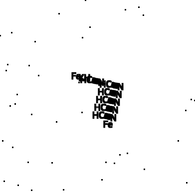 C#N.C#N.C#N.C#N.C#N.C#N.[Fe].[Fe].[KH]